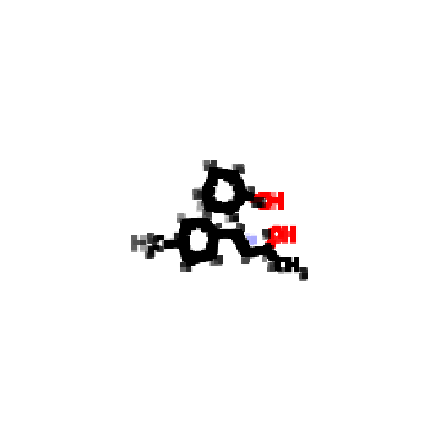 Cc1ccc(/C=C/C(C)O)cc1.Oc1ccccc1